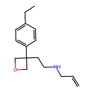 C=CCNCCC1(c2ccc(CC)cc2)COC1